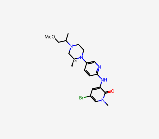 COCC(C)N1CCN(c2ccc(Nc3cc(Br)cn(C)c3=O)nc2)[C@@H](C)C1